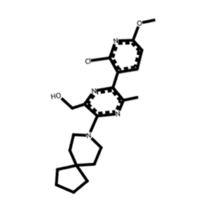 COc1ccc(-c2nc(CO)c(N3CCC4(CCCC4)CC3)nc2C)c(Cl)n1